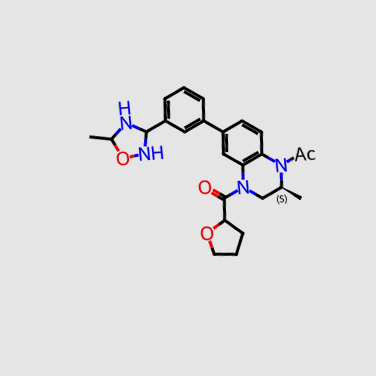 CC(=O)N1c2ccc(-c3cccc(C4NOC(C)N4)c3)cc2N(C(=O)C2CCCO2)C[C@@H]1C